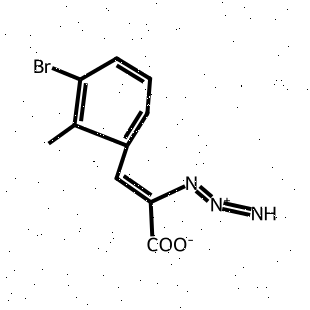 Cc1c(Br)cccc1C=C(N=[N+]=N)C(=O)[O-]